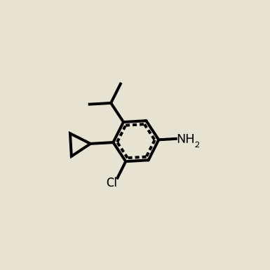 CC(C)c1cc(N)cc(Cl)c1C1CC1